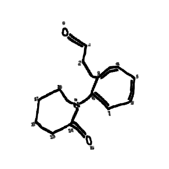 O=CCc1ccccc1N1CCCCC1=O